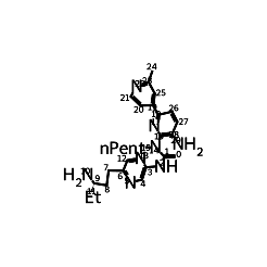 C=C(Nc1cnc(CC[C@@H](N)CC)cn1)N(CCCCC)c1nc(-c2ccnc(C)c2)ccc1N